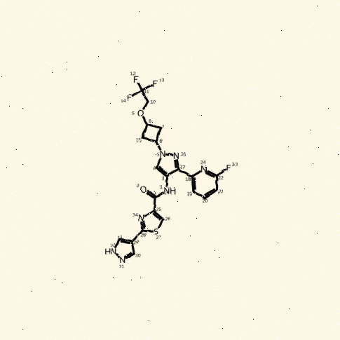 O=C(Nc1cn(C2CC(OCC(F)(F)F)C2)nc1-c1cccc(F)n1)c1csc(-c2cn[nH]c2)n1